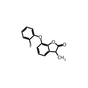 CC1C(=O)Oc2c(Oc3ccccc3F)cccc21